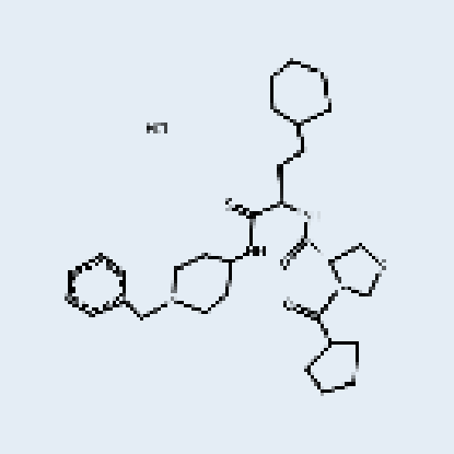 Cl.O=C(N[C@H](CCC1CCCCC1)C(=S)NC1CCN(Cc2ccccc2)CC1)[C@@H]1CSCN1C(=O)C1CCCC1